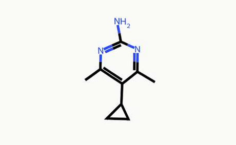 Cc1nc(N)nc(C)c1C1CC1